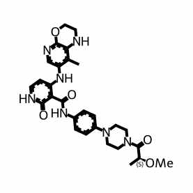 CO[C@@H](C)C(=O)N1CCN(c2ccc(NC(=O)c3c(Nc4cnc5c(c4C)NCCO5)cc[nH]c3=O)cc2)CC1